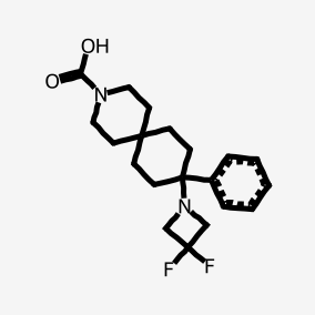 O=C(O)N1CCC2(CC1)CCC(c1ccccc1)(N1CC(F)(F)C1)CC2